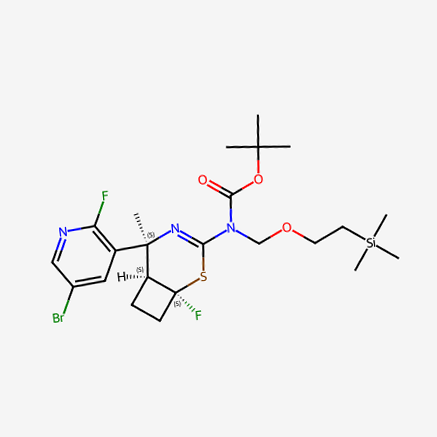 CC(C)(C)OC(=O)N(COCC[Si](C)(C)C)C1=N[C@](C)(c2cc(Br)cnc2F)[C@@H]2CC[C@]2(F)S1